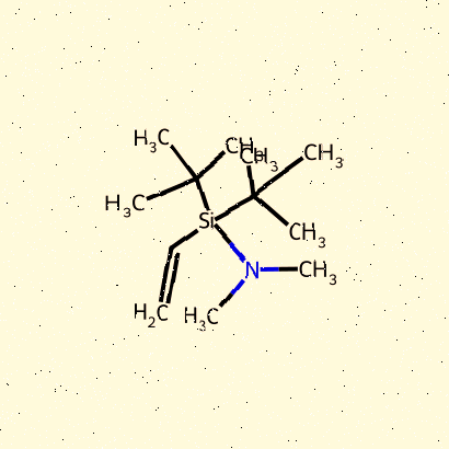 C=C[Si](N(C)C)(C(C)(C)C)C(C)(C)C